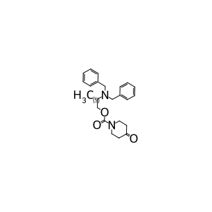 C[C@@H](COC(=O)N1CCC(=O)CC1)N(Cc1ccccc1)Cc1ccccc1